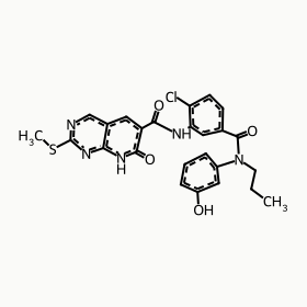 CCCN(C(=O)c1ccc(Cl)c(NC(=O)c2cc3cnc(SC)nc3[nH]c2=O)c1)c1cccc(O)c1